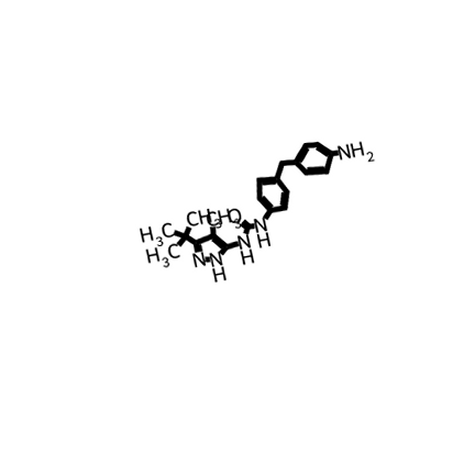 Cc1c(C(C)(C)C)n[nH]c1NC(=O)Nc1ccc(Cc2ccc(N)cc2)cc1